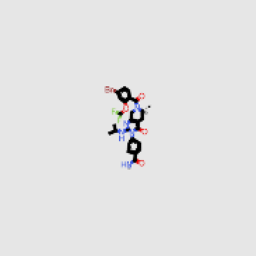 CNC(=O)c1ccc(-n2c(NC(C)C)nc3c(c2=O)C[C@@H](C)N(C(=O)c2ccc(Br)cc2OC(F)F)C3)cc1